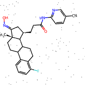 C[C@]12CCC3c4cccc(F)c4CCC3C1[C@H](CCC(=O)Nc1ccc(C#N)cn1)C/C2=N\O